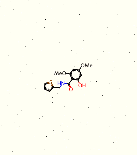 COc1cc(O)c(C(=O)NCc2cccs2)c(OC)c1